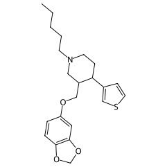 CCCCCN1CCC(c2ccsc2)C(COc2ccc3c(c2)OCO3)C1